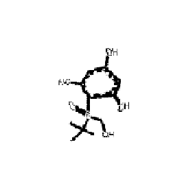 CC(C)(C)P(=O)(CO)c1c(O)cc(O)cc1O